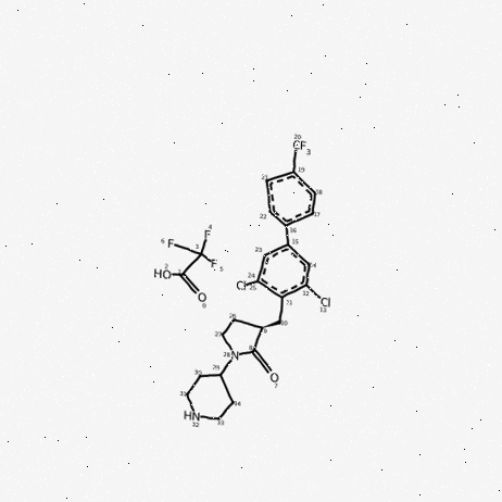 O=C(O)C(F)(F)F.O=C1[C@H](Cc2c(Cl)cc(-c3ccc(C(F)(F)F)cc3)cc2Cl)CCN1C1CCNCC1